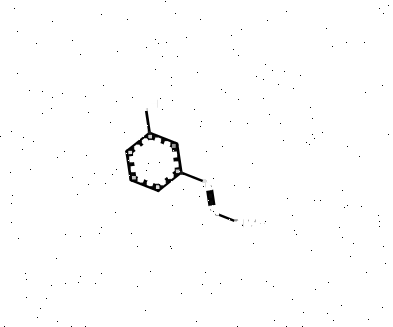 CNN=Nc1cccc(C)c1